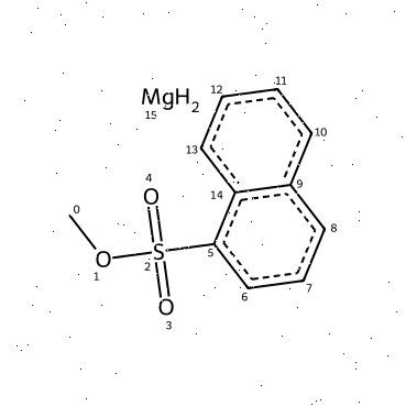 COS(=O)(=O)c1cccc2ccccc12.[MgH2]